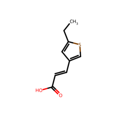 CCc1cc(C=CC(=O)O)cs1